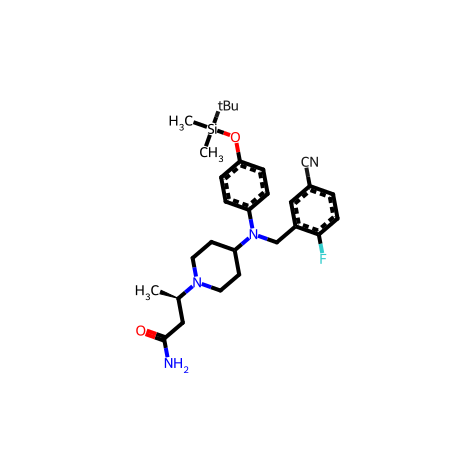 C[C@H](CC(N)=O)N1CCC(N(Cc2cc(C#N)ccc2F)c2ccc(O[Si](C)(C)C(C)(C)C)cc2)CC1